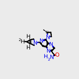 [2H]C1[C@H]2CN(c3cc4nc(C(N)=O)cnc4c(N4CC[C@@H]4C)n3)C[C@@H]12